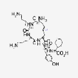 NCCCC[C@@H]1NC(=O)[C@H](CCCCN)NC(=O)[C@@H](N)C/C=C/C[C@@H](C(=O)N[C@@H](Cc2ccc(O)cc2)C(=O)N[C@H](C(=O)O)C2CCCCC2)NC1=O